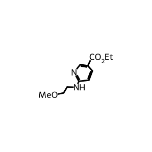 CCOC(=O)c1ccc(NCCOC)nc1